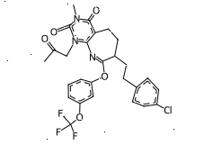 CC(=O)Cn1c2c(c(=O)n(C)c1=O)CCC(CCc1ccc(Cl)cc1)C(Oc1cccc(OC(F)(F)F)c1)=N2